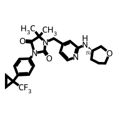 CC1(C)C(=O)N(c2ccc(C3(C(F)(F)F)CC3)cc2)C(=O)N1Cc1ccnc(N[C@H]2CCCOC2)c1